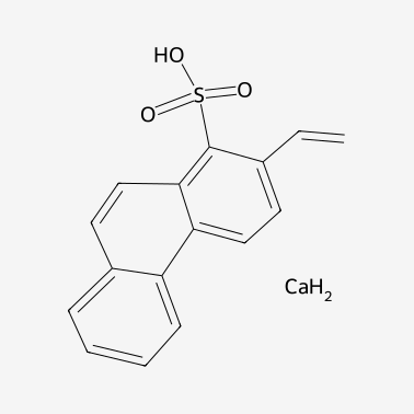 C=Cc1ccc2c(ccc3ccccc32)c1S(=O)(=O)O.[CaH2]